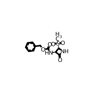 CS(=O)(=O)[C@@H]1NC(=O)[C@H]1NC(=O)OCc1ccccc1